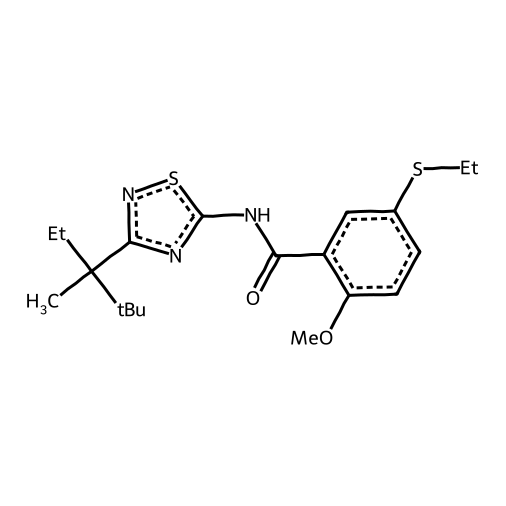 CCSc1ccc(OC)c(C(=O)Nc2nc(C(C)(CC)C(C)(C)C)ns2)c1